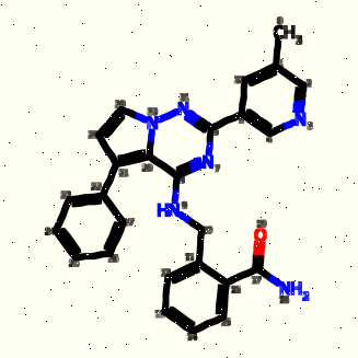 Cc1cncc(-c2nc(NCc3ccccc3C(N)=O)c3c(-c4ccccc4)ccn3n2)c1